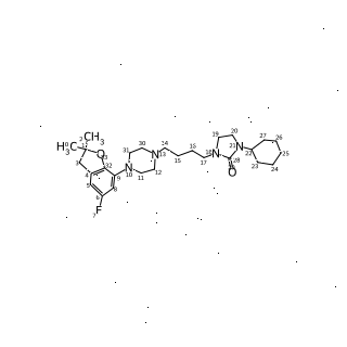 CC1(C)Cc2cc(F)cc(N3CCN(CCCCN4CCN(C5CCCCC5)C4=O)CC3)c2O1